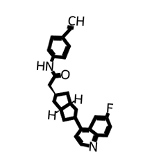 C#Cc1ccc(NC(=O)C[C@H]2C[C@H]3CC(c4ccnc5ccc(F)cc45)C[C@H]3C2)cc1